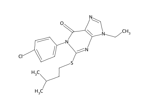 CCn1cnc2c(=O)n(-c3ccc(Cl)cc3)c(SCCC(C)C)nc21